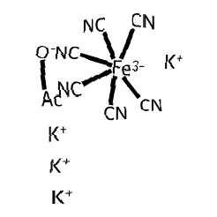 CC(=O)[O-].N#[C][Fe-3]([C]#N)([C]#N)([C]#N)([C]#N)[C]#N.[K+].[K+].[K+].[K+]